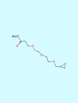 COC(=O)CCOCCOCCOCC1CO1